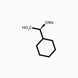 CO[C@H](C(=O)O)C1CCCCC1